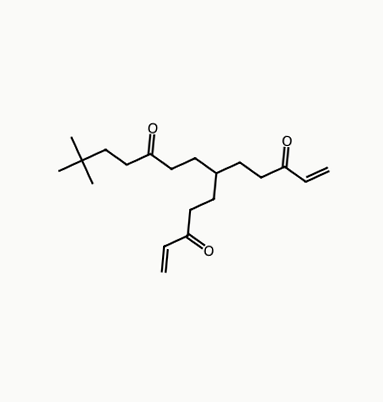 C=CC(=O)CCC(CCC(=O)C=C)CCC(=O)CCC(C)(C)C